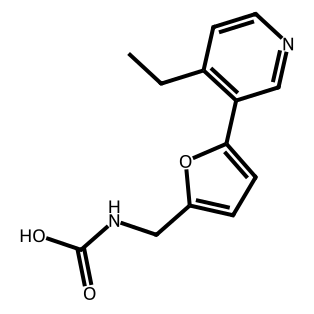 CCc1ccncc1-c1ccc(CNC(=O)O)o1